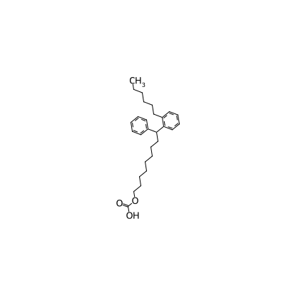 CCCCCCc1ccccc1C(CCCCCCCCOC(=O)O)c1ccccc1